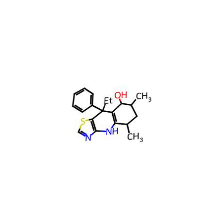 CCC1(c2ccccc2)C2=C(Nc3ncsc31)C(C)CC(C)C2O